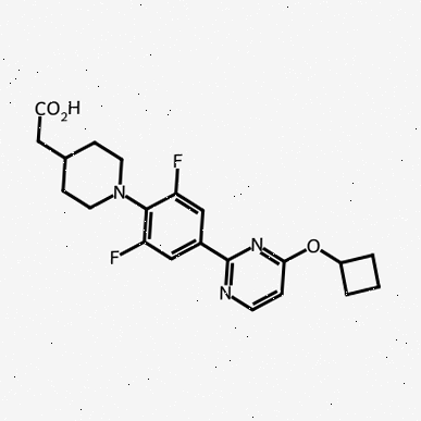 O=C(O)CC1CCN(c2c(F)cc(-c3nccc(OC4CCC4)n3)cc2F)CC1